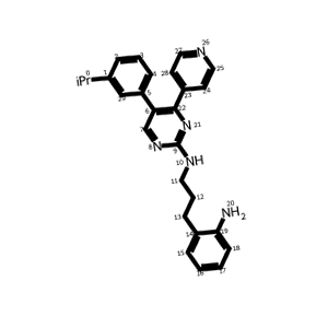 CC(C)c1cccc(-c2cnc(NCCCc3ccccc3N)nc2-c2ccncc2)c1